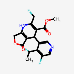 COC(=O)C1=C(CF)NC2=C(C(=O)OC2)C1c1cncc(F)c1C(C)F